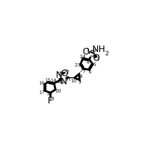 NS(=O)(=O)c1ccc([C@@H]2C[C@H]2c2nc(C3=CC=CC(F)C3)no2)cc1